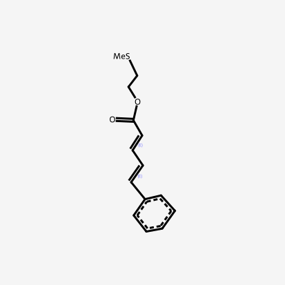 CSCCOC(=O)/C=C/C=C/c1ccccc1